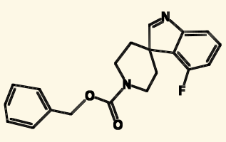 O=C(OCc1ccccc1)N1CCC2(C=Nc3cccc(F)c32)CC1